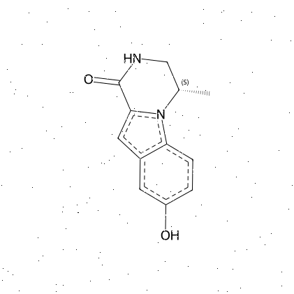 C[C@H]1CNC(=O)c2cc3cc(O)ccc3n21